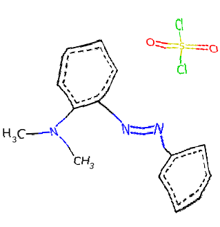 CN(C)c1ccccc1N=Nc1ccccc1.O=S(=O)(Cl)Cl